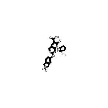 CC(=O)c1cc2cnc(Nc3ccc4c(c3)CS(=O)(=O)C4)nc2n([C@@H]2CCC[C@@]2(C)O)c1=O